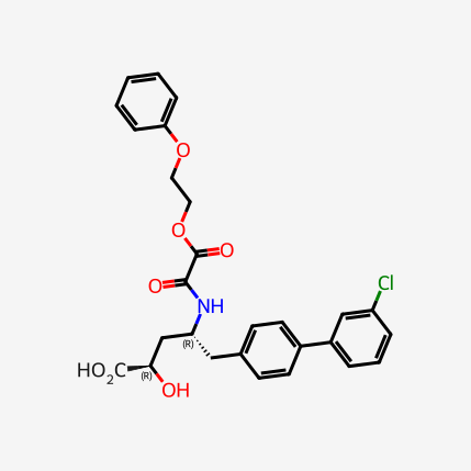 O=C(N[C@H](Cc1ccc(-c2cccc(Cl)c2)cc1)C[C@@H](O)C(=O)O)C(=O)OCCOc1ccccc1